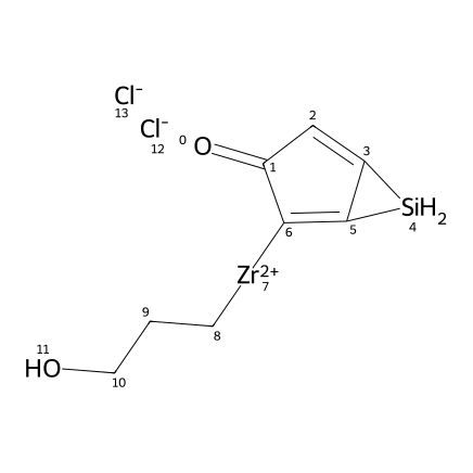 O=C1C=C2[SiH2]C2=[C]1[Zr+2][CH2]CCO.[Cl-].[Cl-]